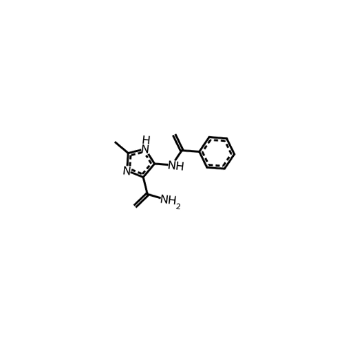 C=C(Nc1[nH]c(C)nc1C(=C)N)c1ccccc1